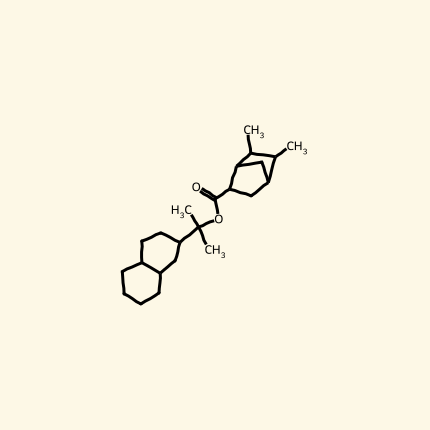 CC1C2CC(C(=O)OC(C)(C)C3CCC4CCCCC4C3)C(C2)C1C